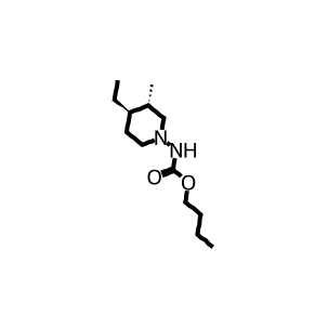 CCCCOC(=O)NN1CC[C@@H](CC)[C@H](C)C1